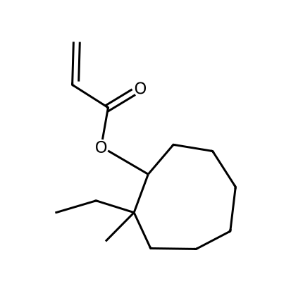 C=CC(=O)OC1CCCCCCC1(C)CC